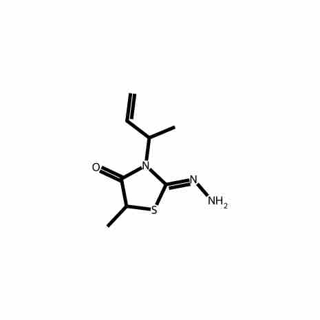 C=CC(C)N1C(=O)C(C)SC1=NN